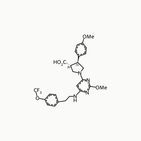 COc1ccc([C@H]2CN(c3cc(NCCc4ccc(OC(F)(F)F)cc4)nc(OC)n3)C[C@@H]2C(=O)O)cc1